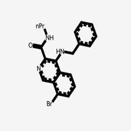 CCCNC(=O)c1ncc2c(Br)cccc2c1NCc1ccccc1